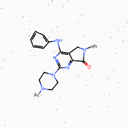 CCCN1Cc2c(Nc3ccccc3)nc(N3CCN(C(C)=O)CC3)nc2C1=O